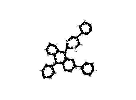 c1ccc(-c2cnc(-c3c4ccccc4c(-c4ccccc4)c4ccc(-c5ccccc5)cc34)nc2)cc1